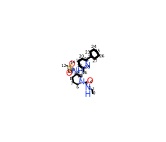 CCNC(=O)N1CCC[C@H](NS(C)(=O)=O)[C@@H]1Cc1cccc(-c2ccccc2)n1